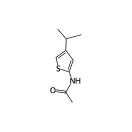 CC(=O)Nc1cc(C(C)C)cs1